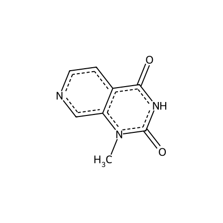 Cn1c(=O)[nH]c(=O)c2ccncc21